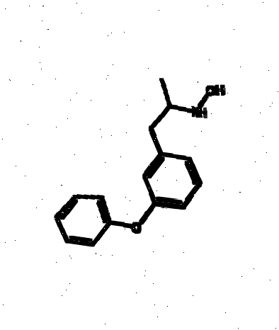 CC(Cc1cccc(Oc2ccccc2)c1)NO